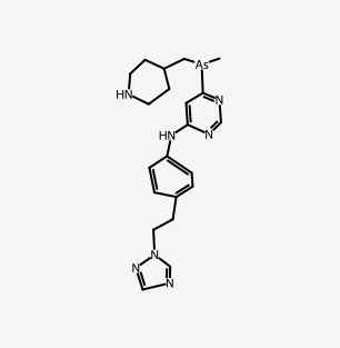 C[As](CC1CCNCC1)c1cc(Nc2ccc(CCn3cncn3)cc2)ncn1